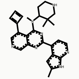 Cc1cc2c(-c3nc(N(C)C4CCNCC4(C)C)c4c(C5=CC=C5)cncc4n3)ccnc2[nH]1